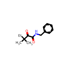 CCC(C)(C)C(=O)C(=O)NCc1ccccc1